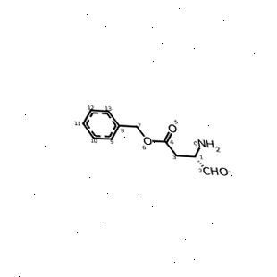 N[C@H]([C]=O)CC(=O)OCc1ccccc1